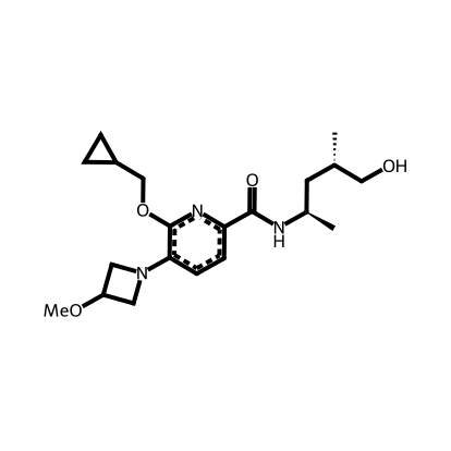 COC1CN(c2ccc(C(=O)N[C@H](C)C[C@H](C)CO)nc2OCC2CC2)C1